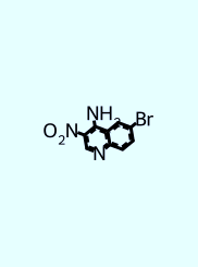 Nc1c([N+](=O)[O-])cnc2ccc(Br)cc12